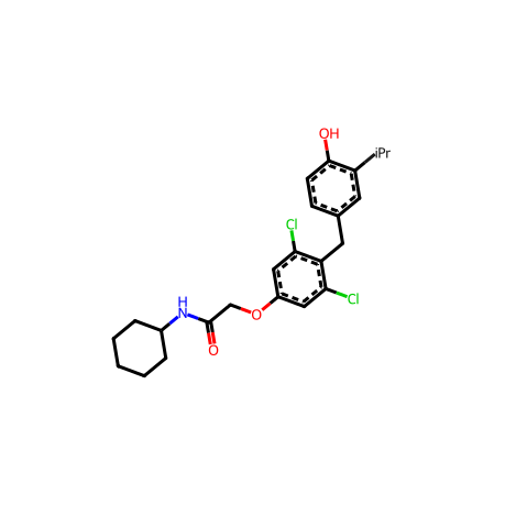 CC(C)c1cc(Cc2c(Cl)cc(OCC(=O)NC3CCCCC3)cc2Cl)ccc1O